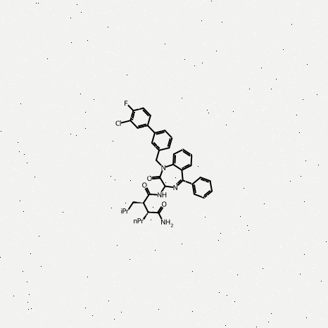 CCC[C@H](C(N)=O)[C@@H](CC(C)C)C(=O)NC1N=C(c2ccccc2)c2ccccc2N(Cc2cccc(-c3ccc(F)c(Cl)c3)c2)C1=O